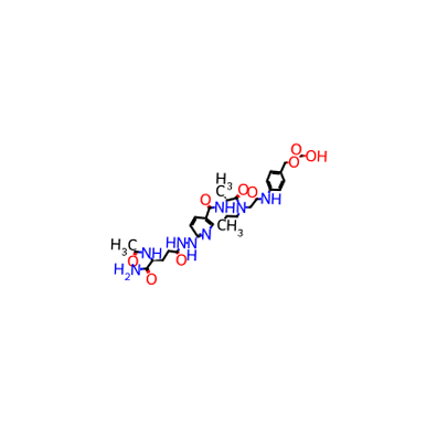 CCCN(CC(=O)Nc1ccc(COC(=O)O)cc1)C(=O)[C@@H](C)NC(=O)c1ccc(NNC(=O)CC[C@H](NC(C)=O)C(N)=O)nc1